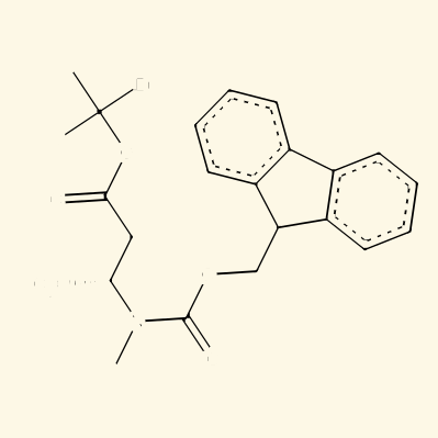 CCC(C)(CC)OC(=O)C[C@@H](C(=O)O)N(C)C(=O)OCC1c2ccccc2-c2ccccc21